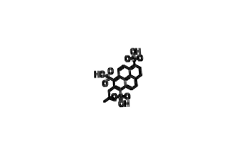 C=C(C)Cc1c(S(=O)(=O)O)c2ccc3ccc(S(=O)(=O)O)c4ccc(c1S(=O)(=O)O)c2c34